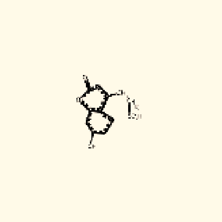 Cc1cc(=O)oc2cc(O)ccc12.O=S(=O)(O)O.[KH]